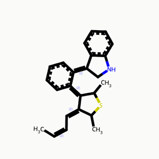 C\C=C/C=C1/C(=c2\cccc\c2=C2\CNc3ccccc32)C(C)SC1C